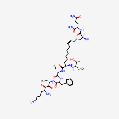 CC(C)C[C@H](NC(=O)[C@@](C)(CCCCCC/C=C\CCC[C@](C)(N)C(=O)N[C@@H](CCC(N)=O)C(N)=O)NN[C@H](C=O)[C@@H](C)O)C(=O)N[C@@H](Cc1ccccc1)C(=O)N[C@@H](CC(C)C)C(=O)C(=O)[C@@H](N)CCCCN